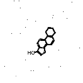 OC1=CCc2c1ccc1c3c(ccc21)CCCC3